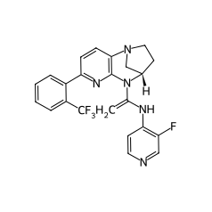 C=C(Nc1ccncc1F)N1c2nc(-c3ccccc3C(F)(F)F)ccc2N2CC[C@H]1C2